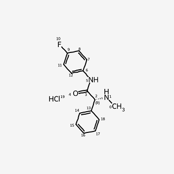 CN[C@@H](C(=O)Nc1ccc(F)cc1)c1ccccc1.Cl